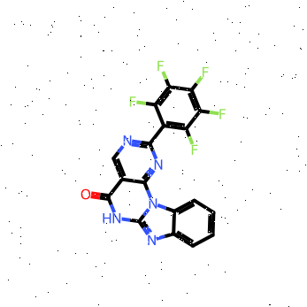 O=c1[nH]c2nc3ccccc3n2c2nc(-c3c(F)c(F)c(F)c(F)c3F)ncc12